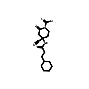 N#CC1(NC(=O)[CH]CC2CCCCC2)CCN(C(N)=O)C(=O)C1